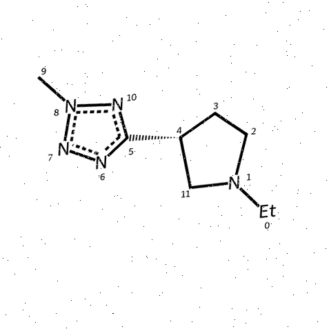 CCN1CC[C@@H](c2nnn(C)n2)C1